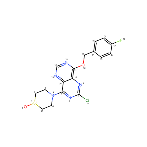 [O-][S+]1CCN(c2nc(Cl)nc3c(OCc4ccc(F)cc4)ncnc23)CC1